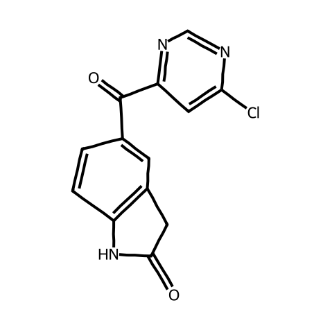 O=C1Cc2cc(C(=O)c3cc(Cl)ncn3)ccc2N1